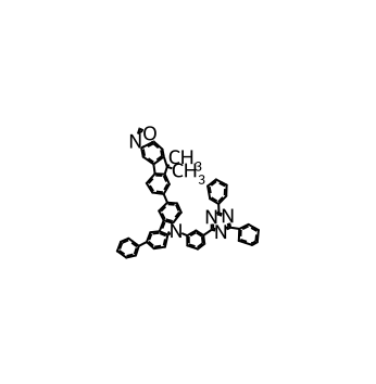 CC1(C)c2cc(-c3ccc4c(c3)c3cc(-c5ccccc5)ccc3n4-c3cccc(-c4nc(-c5ccccc5)nc(-c5ccccc5)n4)c3)ccc2-c2cc3ncoc3cc21